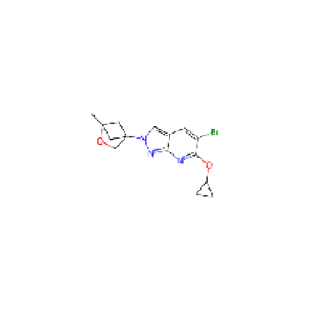 CC12CC(n3cc4cc(Br)c(OC5CC5)nc4n3)(CO1)C2